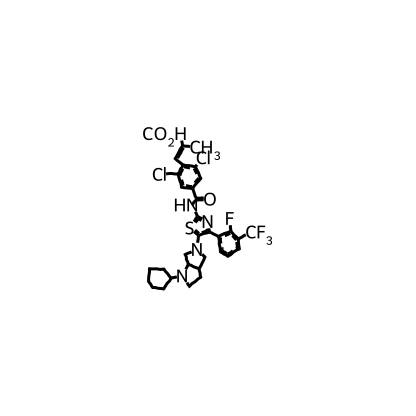 C/C(=C\c1c(Cl)cc(C(=O)Nc2nc(-c3cccc(C(F)(F)F)c3F)c(N3CC4CCN(C5CCCCC5)C4C3)s2)cc1Cl)C(=O)O